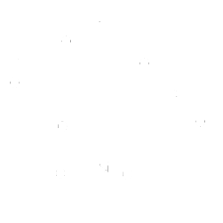 CCO[Si](C)(C)COCC1CO1.CCO[Si](C)(COCC1CO1)OCC